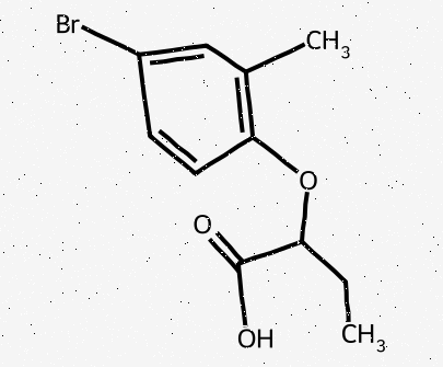 CCC(Oc1ccc(Br)cc1C)C(=O)O